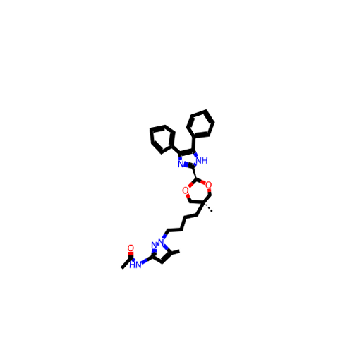 CC(=O)Nc1cc(C)n(CCCC[C@]2(C)CO[C@H](c3nc(-c4ccccc4)c(-c4ccccc4)[nH]3)OC2)n1